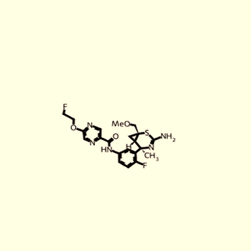 COC[C@]12C[C@H]1[C@](C)(c1cc(NC(=O)c3cnc(OCCF)cn3)ccc1F)N=C(N)S2